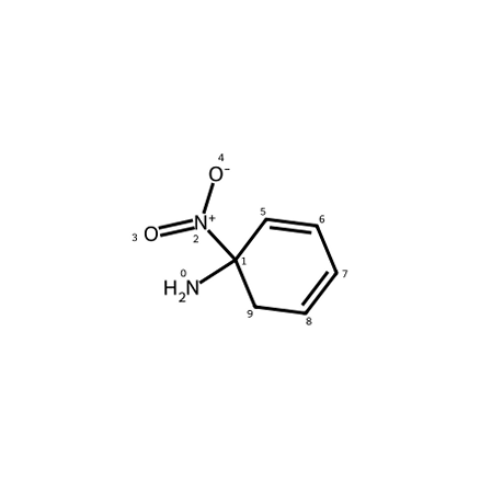 NC1([N+](=O)[O-])C=CC=CC1